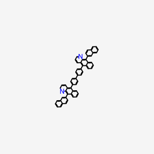 c1ccc2cc(-c3c4ccccc4c(-c4ccc(-c5ccc(-c6c7ccccc7c(-c7ccc8ccccc8c7)c7ncccc67)cc5)cc4)c4cccnc34)ccc2c1